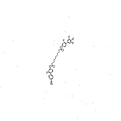 N#Cc1ccc(-c2ccc(OC(=O)CCCCCCCCCC(=O)Oc3ccc(-c4cc(F)c(F)c(F)c4)c(F)c3)cc2F)cc1